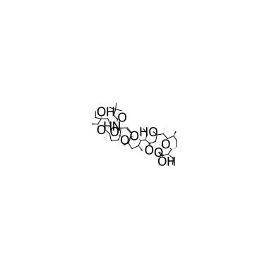 CC[C@@H](C(=O)[C@@H](C)[C@@H](O)[C@H](C)[C@@H]1O[C@@H]([C@@H](CC)C(=O)O)CC[C@@H]1C)[C@H]1O[C@]2(C=CC(NC(=O)CC(C)(C)C)[C@]3(CC[C@@](C)([C@H]4CC[C@](O)(CC)[C@H](C)O4)O3)O2)[C@H](C)C[C@@H]1C